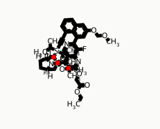 CCOC(=O)COc1nc(N2C[C@H]3CC[C@@H](C2)N3C(=O)OC(C)(C)C)c2cnc(-c3cc(OCOC)cc4cccc(C#C[Si](C(C)C)(C(C)C)C(C)C)c34)c(F)c2n1